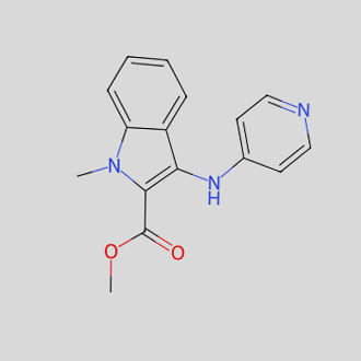 COC(=O)c1c(Nc2ccncc2)c2ccccc2n1C